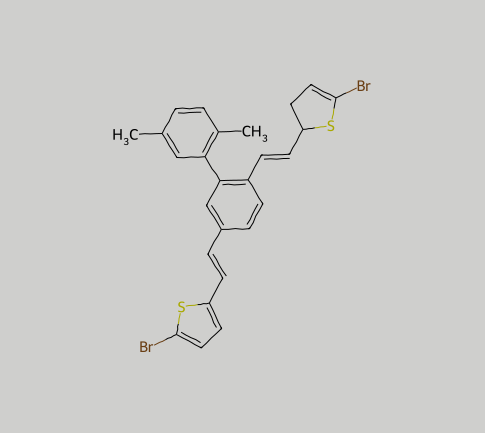 Cc1ccc(C)c(-c2cc(/C=C/c3ccc(Br)s3)ccc2/C=C/C2CC=C(Br)S2)c1